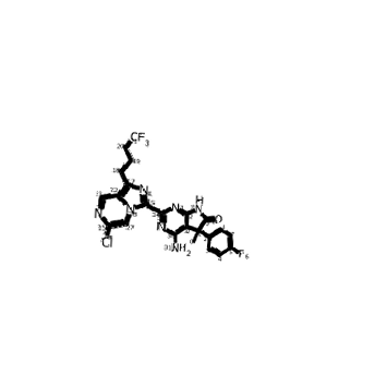 CC1(c2ccc(F)cc2)C(=O)Nc2nc(-c3nc(CCCC(F)(F)F)c4cnc(Cl)cn34)nc(N)c21